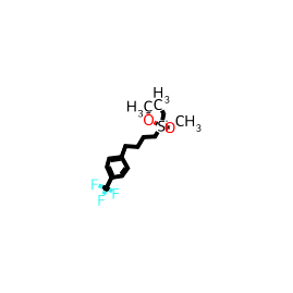 CC[Si](CCCCc1ccc(C(F)(F)F)cc1)(OC)OC